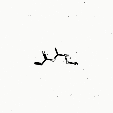 C=CC(=O)OC(C)[SiH2]OC(C)C